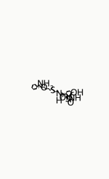 N[C@H](COCCCSCCNC[C@H](O)c1ccc(O)c2[nH]c(=O)sc12)c1ccccc1